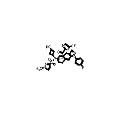 Cn1ccc(S(=O)(=O)N(C2CC(C#N)C2)[C@H]2CCC3=Cc4c(cnn4-c4ccc(F)cc4)C[C@]3(C(=O)c3ncc(C(F)(F)F)s3)C2)n1